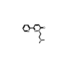 CN(C)CCn1nc(-c2ccccn2)ccc1=O